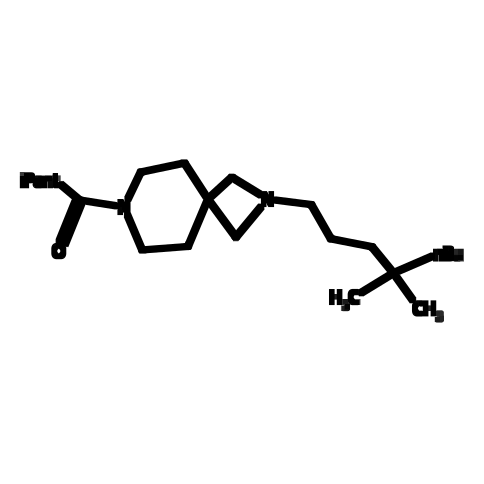 CCCCC(C)(C)CCCN1CC2(CCN(C(=O)C(C)CCC)CC2)C1